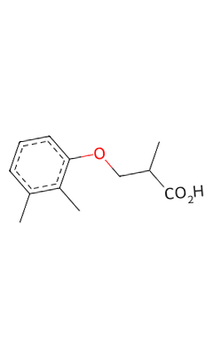 Cc1cccc(OCC(C)C(=O)O)c1C